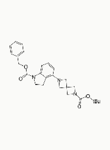 CC(C)(C)OC(=O)N1CC2(C1)CN(c1cccc3c1CCN3C(=O)OCc1ccccc1)C2